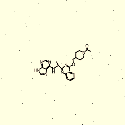 CC(=O)N1CCC(COc2nc(C(C)Nc3ncnc4[nH]cnc34)nc3ccccc23)CC1